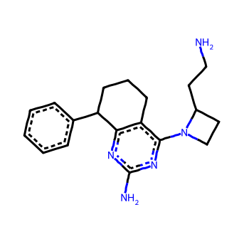 NCCC1CCN1c1nc(N)nc2c1CCCC2c1ccccc1